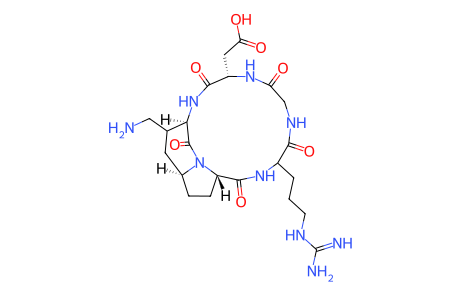 N=C(N)NCCCC1NC(=O)[C@@H]2CC[C@H]3CC(CN)[C@@H](NC(=O)[C@H](CC(=O)O)NC(=O)CNC1=O)C(=O)N32